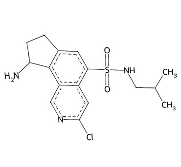 CC(C)CNS(=O)(=O)c1cc2c(c3cnc(Cl)cc13)C(N)CC2